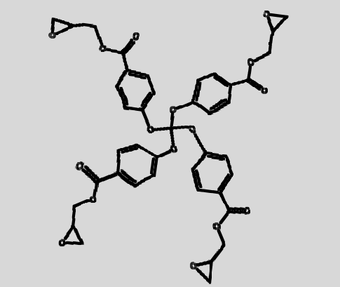 O=C(OCC1CO1)c1ccc(OC(Oc2ccc(C(=O)OCC3CO3)cc2)(Oc2ccc(C(=O)OCC3CO3)cc2)Oc2ccc(C(=O)OCC3CO3)cc2)cc1